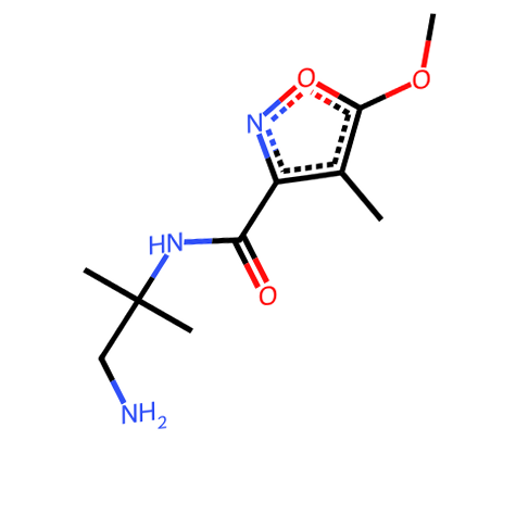 COc1onc(C(=O)NC(C)(C)CN)c1C